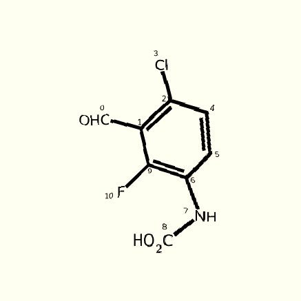 O=Cc1c(Cl)ccc(NC(=O)O)c1F